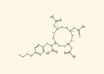 CCCOc1ccc(CC(C(=O)O)N2CCN(CC(=O)O)CCN(CC(=O)O)CCN(CC(=O)O)CC2)cc1